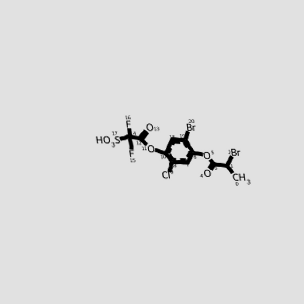 CC(Br)C(=O)Oc1cc(Cl)c(OC(=O)C(F)(F)S(=O)(=O)O)cc1Br